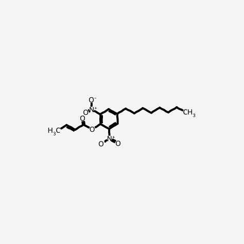 CC=CC(=O)Oc1c([N+](=O)[O-])cc(CCCCCCCC)cc1[N+](=O)[O-]